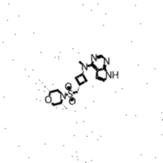 C[C@@H]1CN(S(=O)(=O)C[C@H]2C[C@@H](N(C)c3ncnc4[nH]ccc34)C2)[C@H](C)CO1